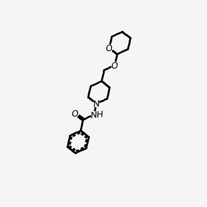 O=C(NN1CCC(COC2CCCCO2)CC1)c1ccccc1